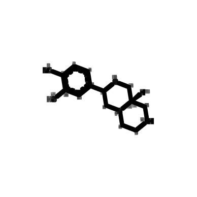 N#Cc1ccc(C2CN3CCNC[C@H]3CO2)cc1O